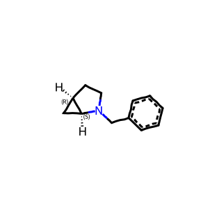 c1ccc(CN2CC[C@@H]3C[C@@H]32)cc1